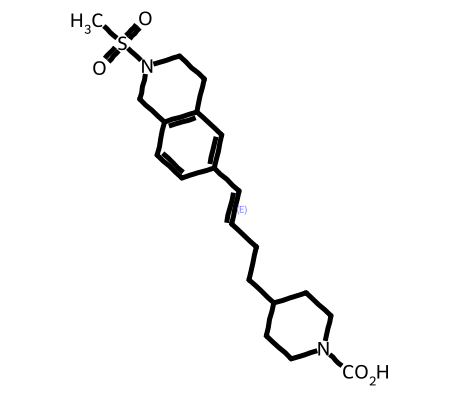 CS(=O)(=O)N1CCc2cc(/C=C/CCC3CCN(C(=O)O)CC3)ccc2C1